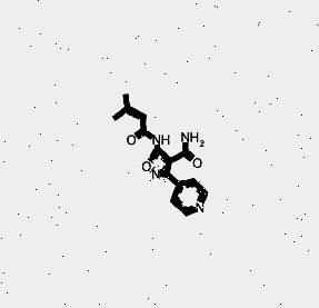 CC(C)=CC(=O)Nc1onc(-c2ccncc2)c1C(N)=O